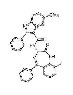 COc1ccc2nc(-c3ccccc3)c(C(=O)N[C@H]3N=C(c4ccccc4)c4cccc(F)c4NC3=O)n2n1